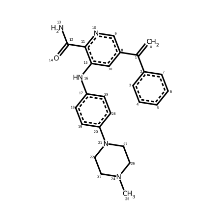 C=C(c1ccccc1)c1cnc(C(N)=O)c(Nc2ccc(N3CCN(C)CC3)cc2)c1